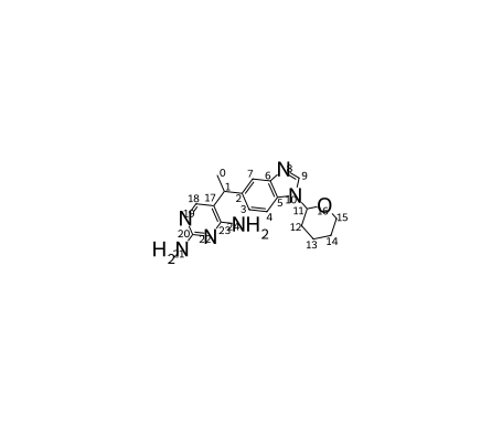 CC(c1ccc2c(c1)ncn2C1CCCCO1)c1cnc(N)nc1N